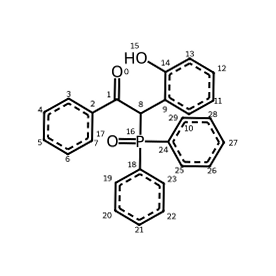 O=C(c1ccccc1)C(c1ccccc1O)P(=O)(c1ccccc1)c1ccccc1